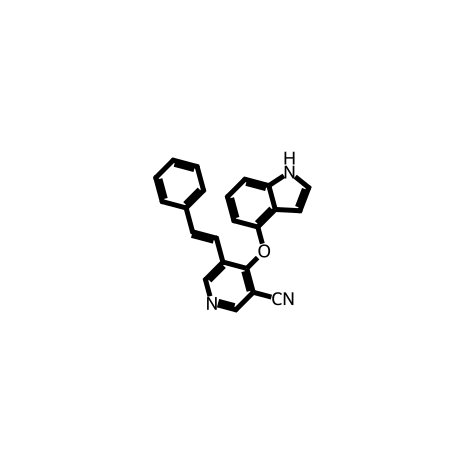 N#Cc1cncc(C=Cc2ccccc2)c1Oc1cccc2[nH]ccc12